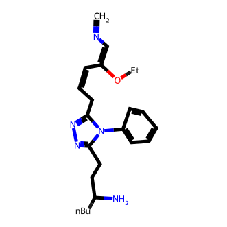 C=N/C=C(\C=C/Cc1nnc(CCC(N)CCCC)n1-c1ccccc1)OCC